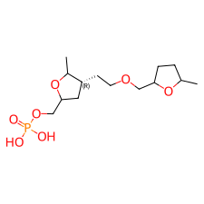 CC1CCC(COCC[C@@H]2CC(COP(=O)(O)O)OC2C)O1